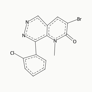 Cn1c(=O)c(Br)cc2cnnc(-c3ccccc3Cl)c21